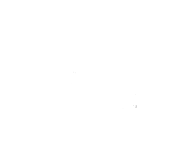 O=C1NC(=O)/C(=C/c2cccc3c2ccn3Cc2c(F)cccc2F)S1